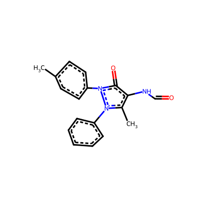 Cc1ccc(-n2c(=O)c(NC=O)c(C)n2-c2ccccc2)cc1